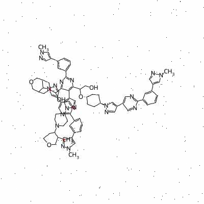 CC1COCCC1N1CCC(n2cc(-c3c(C(CO)O[C@H]4CC[C@H](n5cc(-c6cnc(-c7cccc(-c8cnn(C)c8)c7)nc6)cn5)CC4)nc(-c4cccc(-c5cnn(C)c5)c4)nc3C(O)C3CC4COCC(C3)C4n3cc(-c4cnc(-c5cccc(-c6cnn(C)c6)c5)nc4)cn3)cn2)CC1